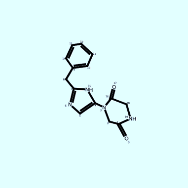 O=C1CN(c2cnc(Cc3ccccc3)[nH]2)C(=O)CN1